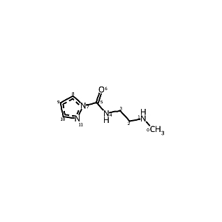 CNCCNC(=O)n1[c]ccn1